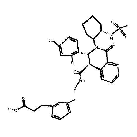 COC(=O)CCc1cccc(CONC(=O)[C@@H]2c3ccccc3C(=O)N(C3CCCC[C@@H]3NS(C)(=O)=O)[C@H]2c2ccc(Cl)cc2Cl)c1